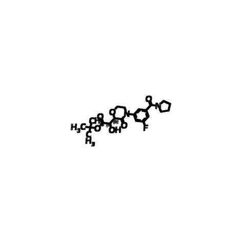 CC(C)(C)OC(=O)[C@H](O)[C@H]1OCCN(c2cc(F)cc(C(=O)N3CCCC3)c2)C1=O